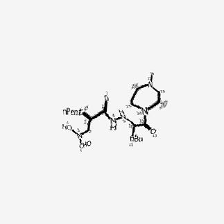 CCCCCC(CN(O)C=O)C(=O)NNC(CCCC)C(=O)N1CCN(C)CC1